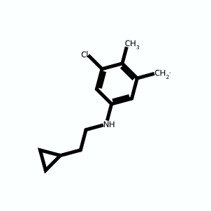 [CH2]c1cc(NCCC2CC2)cc(Cl)c1C